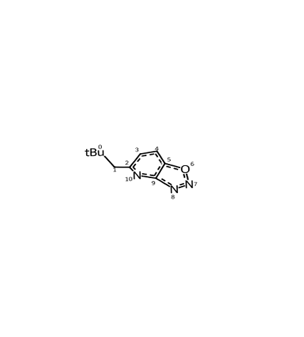 CC(C)(C)Cc1ccc2onnc2n1